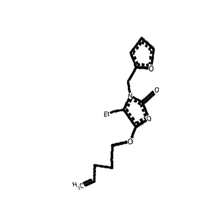 C=CCCCOc1oc(=O)n(Cc2ccco2)c1CC